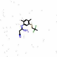 Cc1cc(C)c(SCC(C)(F)F)cc1/N=C(\N)CC#N